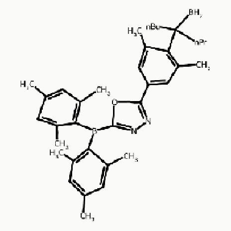 BC(CCC)(CCCC)c1c(C)cc(-c2nnc(B(c3c(C)cc(C)cc3C)c3c(C)cc(C)cc3C)o2)cc1C